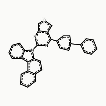 c1ccc(-c2ccc(-c3nc(-n4c5ccccc5c5c6ccccc6ccc54)nc4cocc34)cc2)cc1